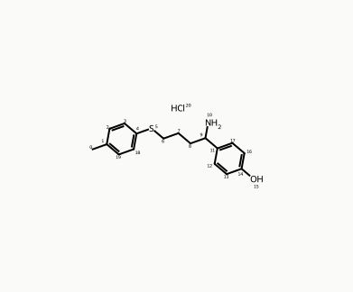 Cc1ccc(SCCCC(N)c2ccc(O)cc2)cc1.Cl